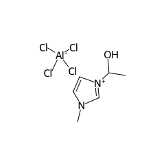 CC(O)[n+]1ccn(C)c1.[Cl][Al-]([Cl])([Cl])[Cl]